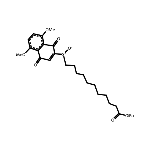 COc1ccc(OC)c2c1C(=O)C=C([S+]([O-])CCCCCCCCCCC(=O)OCC(C)C)C2=O